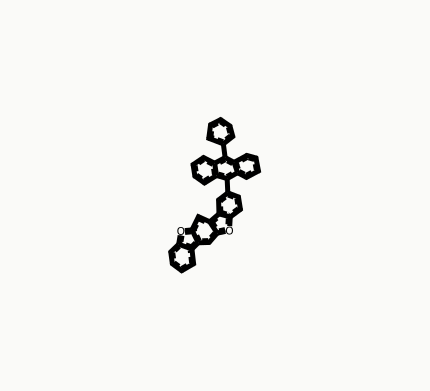 c1ccc(-c2c3ccccc3c(-c3ccc4oc5cc6c(cc5c4c3)oc3ccccc36)c3ccccc23)cc1